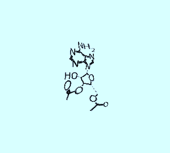 CC(=O)OC[C@H]1O[C@@H](n2cnc3c(N)ncnc32)[C@@H](O)[C@@H]1OC(C)=O